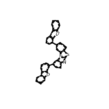 c1ccc2c(c1)oc1c(-c3ccc4nc5sc6ccc(-c7cccc8c7oc7ccccc78)cc6n5c4c3)cccc12